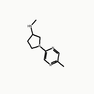 CNC1CCN(c2cnc(C)cn2)C1